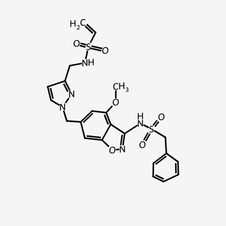 C=CS(=O)(=O)NCc1ccn(Cc2cc(OC)c3c(NS(=O)(=O)Cc4ccccc4)noc3c2)n1